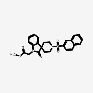 COC(=O)CN1C(=O)C2(CCN(S(=O)(=O)c3ccc4ccccc4c3)CC2)c2ccccc21